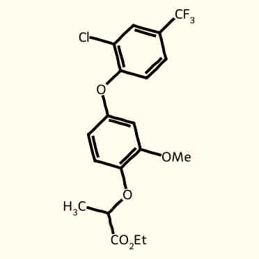 CCOC(=O)C(C)Oc1ccc(Oc2ccc(C(F)(F)F)cc2Cl)cc1OC